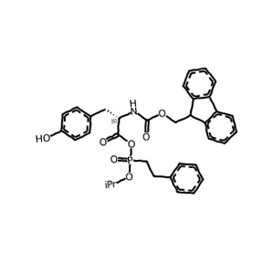 CC(C)OP(=O)(CCc1ccccc1)OC(=O)[C@H](Cc1ccc(O)cc1)NC(=O)OCC1c2ccccc2-c2ccccc21